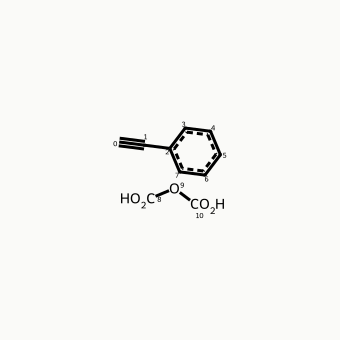 C#Cc1ccccc1.O=C(O)OC(=O)O